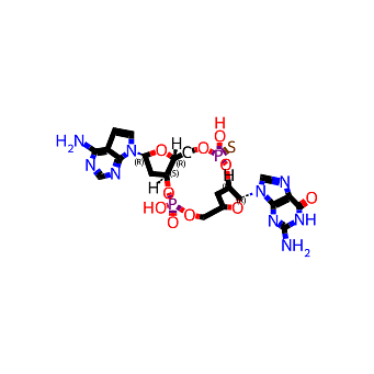 Nc1nc2c(ncn2[C@@H]2OC3COP(=O)(O)O[C@H]4C[C@H](n5ccc6c(N)ncnc65)O[C@@H]4COP(O)(=S)O[C@@H]2C3)c(=O)[nH]1